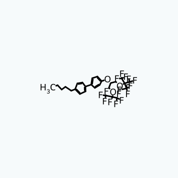 CCCCCc1ccc(-c2ccc(OC(COC(F)(C(F)(F)F)C(F)(F)F)COC(C(F)(F)F)(C(F)(F)F)C(F)(F)F)cc2)cc1